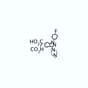 CN1CCN(c2nn(-c3ccc(F)cc3)c3ccccc23)CC1.O=C(O)C=CC(=O)O